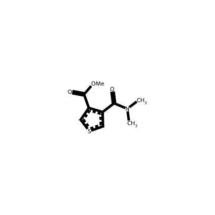 COC(=O)c1[c]scc1C(=O)N(C)C